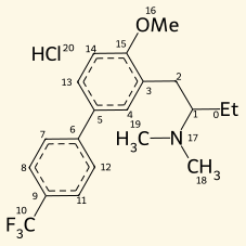 CCC(Cc1cc(-c2ccc(C(F)(F)F)cc2)ccc1OC)N(C)C.Cl